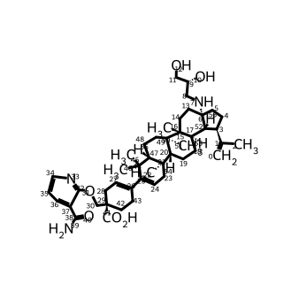 C=C(C)[C@@H]1CC[C@]2(NC[C@@H](O)CO)CC[C@]3(C)[C@H](CC[C@@H]4[C@@]5(C)CC=C(C6=CC[C@](COc7ncccc7C(N)=O)(C(=O)O)CC6)C(C)(C)[C@@H]5CC[C@]43C)[C@@H]12